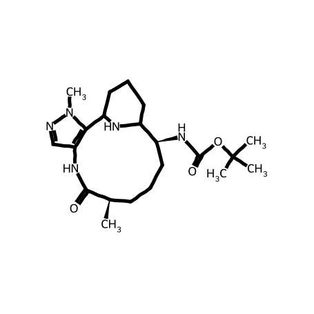 C[C@@H]1CCC[C@H](NC(=O)OC(C)(C)C)C2CCCC(N2)c2c(cnn2C)NC1=O